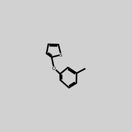 Cc1cccc(Oc2cccs2)c1